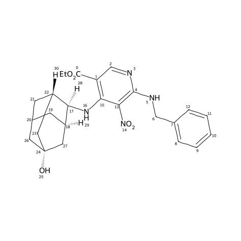 CCOC(=O)c1cnc(NCc2ccccc2)c([N+](=O)[O-])c1N[C@H]1[C@@H]2CC3C[C@H]1C[C@](O)(C3)C2